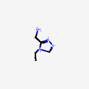 CCn1cnnc1CN